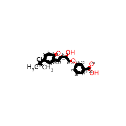 CC(C)(C)c1ccc2oc(C(O)COc3cccc(C(=O)O)c3)cc2c1